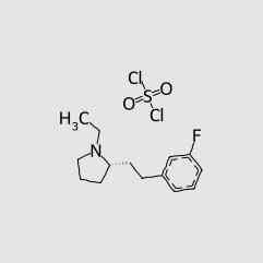 CCN1CCC[C@H]1CCc1cccc(F)c1.O=S(=O)(Cl)Cl